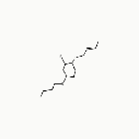 CC=CCOC1CCC(OCCCC)CC1F